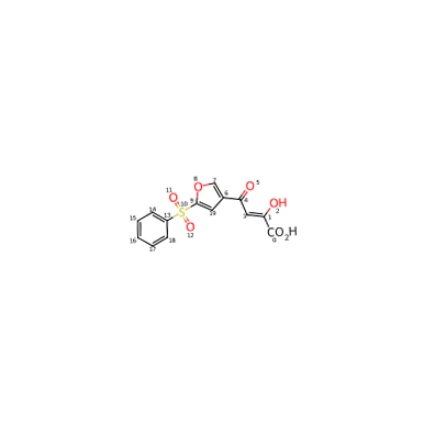 O=C(O)C(O)=CC(=O)c1coc(S(=O)(=O)c2ccccc2)c1